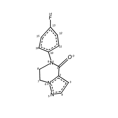 O=C1c2ccnn2CCN1c1ccc(F)cc1